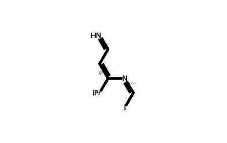 CC(C)C(=C/C=N)/N=C\I